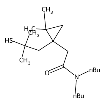 CCCCN(CCCC)C(=O)CC1(CC(C)(C)S)CC1(C)C